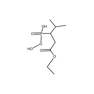 CCOC(=O)CC(C(C)C)P(=O)(O)OO